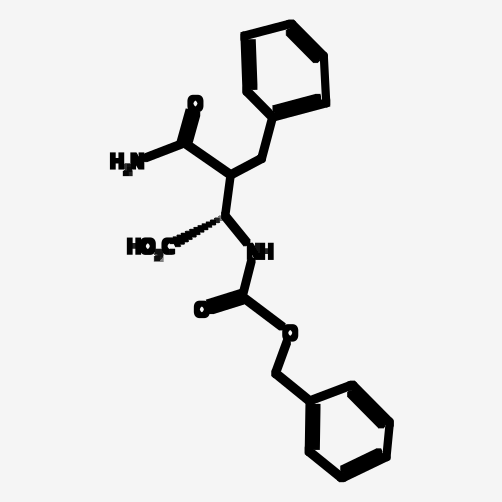 NC(=O)C(Cc1ccccc1)[C@H](NC(=O)OCc1ccccc1)C(=O)O